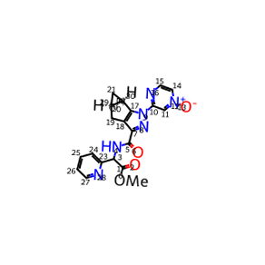 COC(=O)C(NC(=O)c1nn(-c2c[n+]([O-])ccn2)c2c1C[C@H]1C[C@@H]21)c1ccccn1